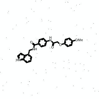 COc1ccc(OCC(=O)Nc2ccc(C(=O)NCc3cccc4[nH]ccc34)cc2)cc1